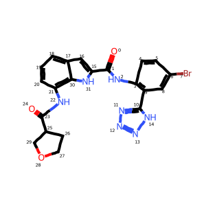 O=C(Nc1ccc(Br)cc1-c1nnn[nH]1)c1cc2cccc(NC(=O)C3CCOC3)c2[nH]1